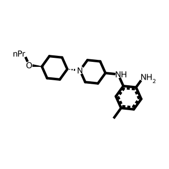 CCCO[C@H]1CC[C@H](N2CCC(Nc3cc(C)ccc3N)CC2)CC1